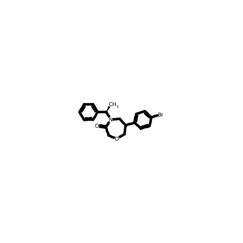 C[C@H](c1ccccc1)N1CC(c2ccc(Br)cc2)COCC1=O